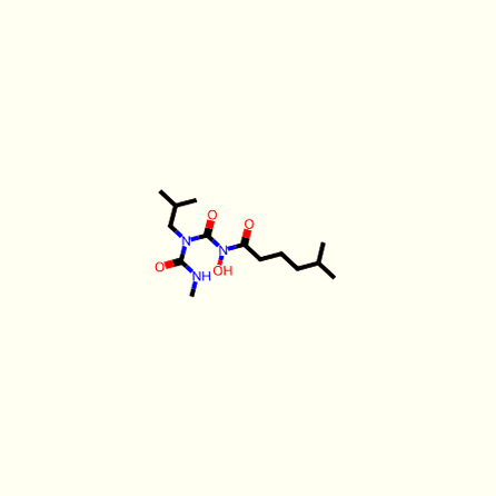 CNC(=O)N(CC(C)C)C(=O)N(O)C(=O)CCCC(C)C